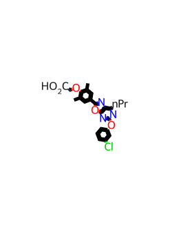 CCCc1nc(Oc2cccc(Cl)c2)nc2oc(-c3cc(C)c(OCC(=O)O)c(C)c3)nc12